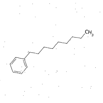 CCCCCCCC[C]c1ccccc1